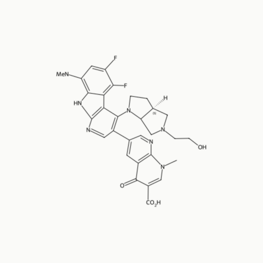 CNc1cc(F)c(F)c2c1[nH]c1ncc(-c3cnc4c(c3)c(=O)c(C(=O)O)cn4C)c(N3CC[C@H]4CN(CCO)CC43)c12